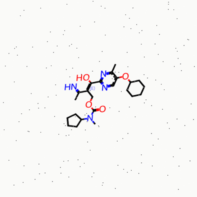 CC(=N)/C(COC(=O)N(C)C1CCCC1)=C(\O)c1ncc(OC2CCCCC2)c(C)n1